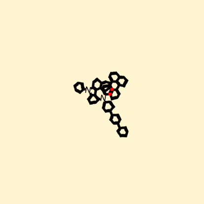 c1ccc(-c2ccc(-c3ccc(N(c4ccc(-c5cccc6cccc(-c7ccccc7)c56)cc4)c4cccc5c4c4c6ccccc6ccc4n5-c4ccccc4)cc3)cc2)cc1